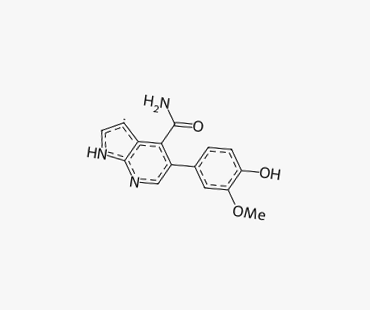 COc1cc(-c2cnc3[nH]c[c]c3c2C(N)=O)ccc1O